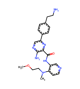 COCCN(C)c1ccncc1NC(=O)c1nc(-c2ccc(CCN)cc2)cnc1N